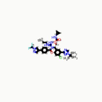 BC(B)(B)n1cnc(-c2cc([C@@H](COC(=O)NC3CC3)N(C(=N)NCCC(C)(C)C)C(=O)c3ccc(-c4cnn(C(F)F)c4)cc3)ccc2Cl)n1